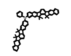 CC1(C)c2cc3ccccc3cc2-c2ccc3c(c21)C(C)(C)c1cc2cc(N(c4ccccc4)c4ccc5cc6c(cc5c4)C(C)(C)c4c-6ccc5c4C(C)(C)c4cc6ccccc6cc4-5)ccc2cc1-3